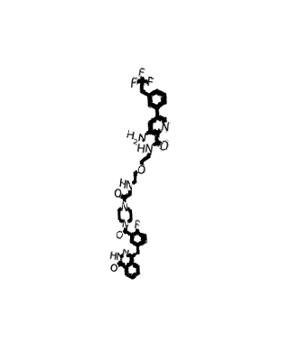 Nc1cc(-c2cccc(CC(F)(F)F)c2)cnc1C(=O)NCCOCCNCC(=O)N1CCN(C(=O)c2cc(Cc3n[nH]c(=O)c4ccccc34)ccc2F)CC1